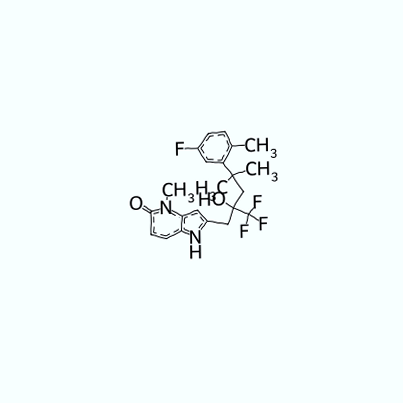 Cc1ccc(F)cc1C(C)(C)CC(O)(Cc1cc2c(ccc(=O)n2C)[nH]1)C(F)(F)F